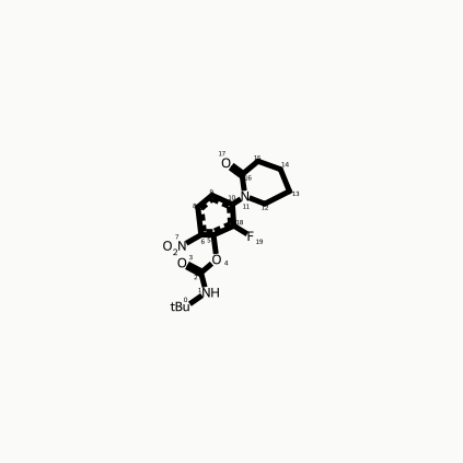 CC(C)(C)NC(=O)Oc1c([N+](=O)[O-])ccc(N2CCCCC2=O)c1F